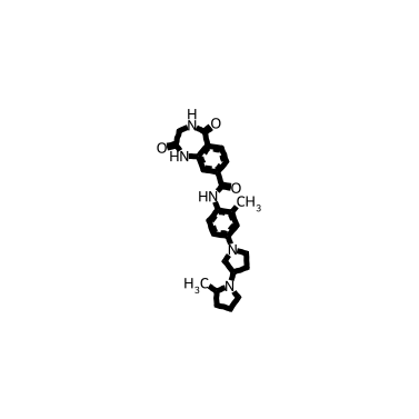 Cc1cc(N2CCC(N3CCCC3C)C2)ccc1NC(=O)c1ccc2c(c1)NC(=O)CNC2=O